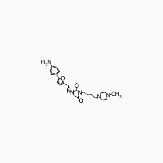 CN1CCN(CCCCN2C(=O)CN(N=Cc3ccc(-c4ccc(N)cc4)o3)C2=O)CC1